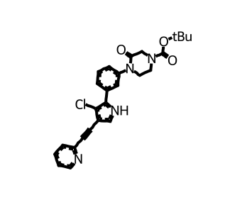 CC(C)(C)OC(=O)N1CCN(c2cccc(-c3[nH]cc(C#Cc4ccccn4)c3Cl)c2)C(=O)C1